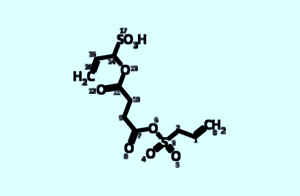 C=CCS(=O)(=O)OC(=O)CCC(=O)OC(C=C)S(=O)(=O)O